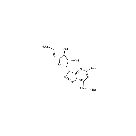 CCCCNc1nc(CCCC)nc2c1nnn2[C@@H]1O[C@H](/C=C/C(=O)O)[C@@H](O)[C@H]1O